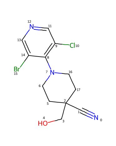 N#CC1(CO)CCN(c2c(Cl)cncc2Br)CC1